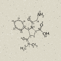 CN(C)C(=O)C1CC(C(=O)O)N(C(=O)CN)C1c1ccccc1